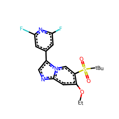 CCOc1cc2ncc(-c3cc(F)nc(F)c3)n2cc1S(=O)(=O)C(C)(C)C